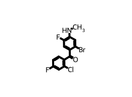 CNc1cc(Br)c(C(=O)c2ccc(F)cc2Cl)cc1F